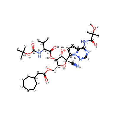 COC(C)(C)C(=O)Nc1ncnn2c([C@]3(C#N)O[C@H](COC(=O)CC4CCCCCC4)[C@@H](OC(=O)[C@@H](NC(=O)OC(C)(C)C)C(C)C)[C@H]3O)ccc12